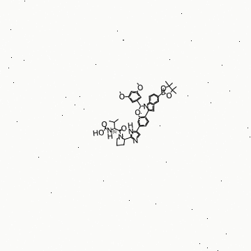 COc1cc(OC)cc(C2Oc3cc(-c4cnc(C5CCCN5C(=O)[C@@H](NC(=O)O)C(C)C)[nH]4)ccc3-c3cc4cc(B5OC(C)(C)C(C)(C)O5)ccc4n32)c1